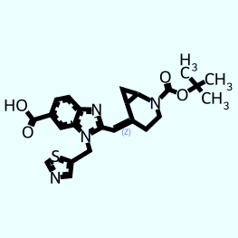 CC(C)(C)OC(=O)N1CC/C(=C/c2nc3ccc(C(=O)O)cc3n2Cc2cncs2)C2CC21